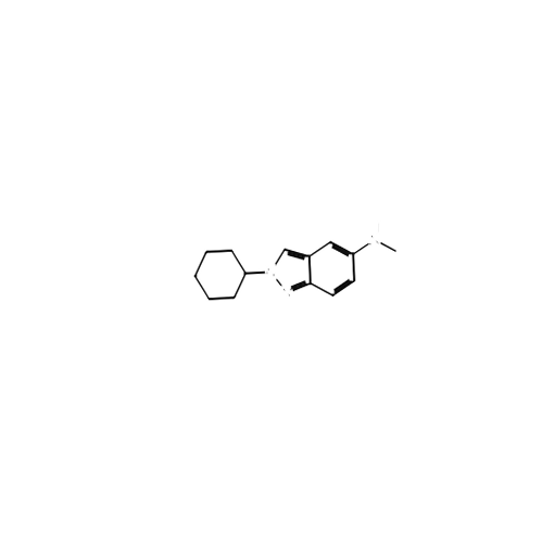 CNc1ccc2nn(C3CCCCC3)cc2c1